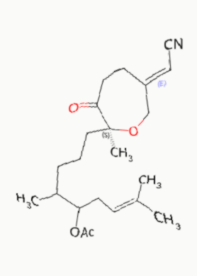 CC(=O)OC(CC=C(C)C)C(C)CCC[C@]1(C)OC/C(=C/C#N)CCC1=O